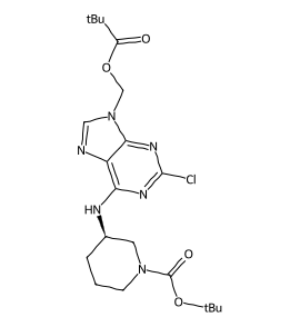 CC(C)(C)OC(=O)N1CCC[C@@H](Nc2nc(Cl)nc3c2ncn3COC(=O)C(C)(C)C)C1